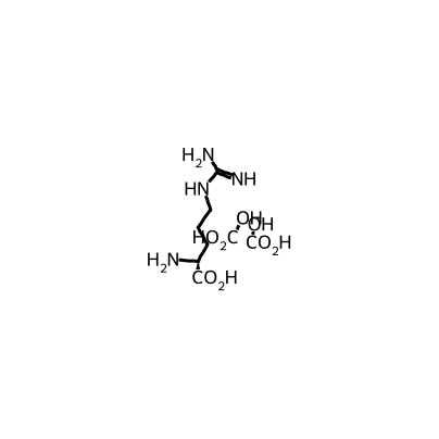 N=C(N)NCCC[C@H](N)C(=O)O.O=C(O)O.O=C(O)O